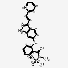 CN(C(=O)c1ccccc1Sc1ccc2c(/C=C/c3ccccn3)n[nH]c2c1)P(=O)(O)O